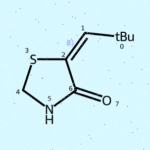 CC(C)(C)/C=C1/SCNC1=O